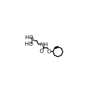 O=C(COC1C#CCCCCC1)NCCP(O)O